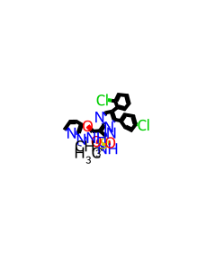 CNS(=O)(=O)c1nn2c(-c3ccc(Cl)cc3)c(-c3ccccc3Cl)cnc2c1C(=O)NN(C)c1ccccn1